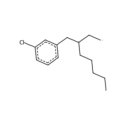 [CH2]C[C](CCCCC)Cc1cccc(Cl)c1